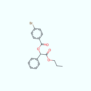 CCCOC(=O)C(OC(=O)c1ccc(Br)cc1)c1ccccc1